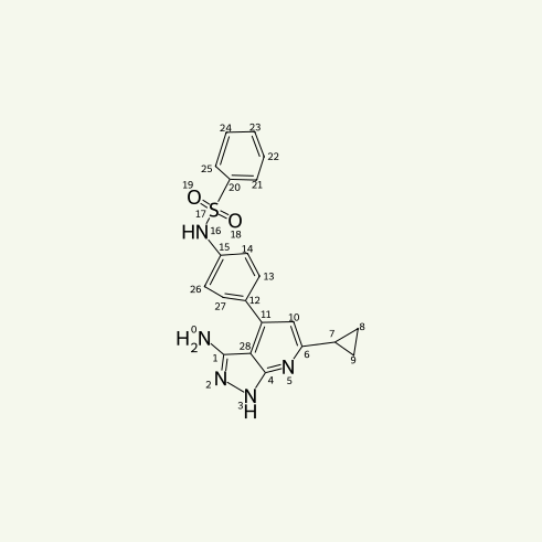 Nc1n[nH]c2nc(C3CC3)cc(-c3ccc(NS(=O)(=O)c4ccccc4)cc3)c12